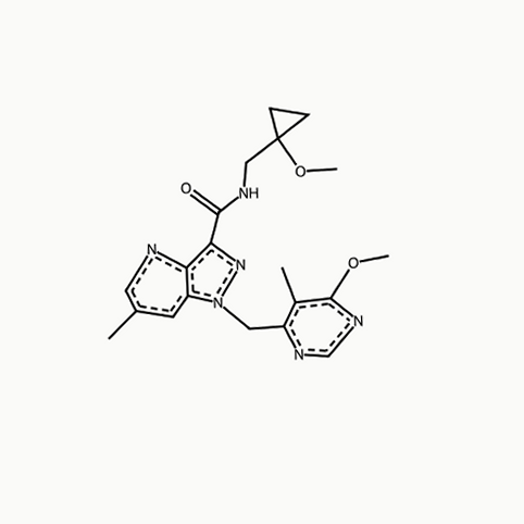 COc1ncnc(Cn2nc(C(=O)NCC3(OC)CC3)c3ncc(C)cc32)c1C